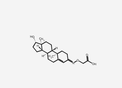 C[C@]12CC[C@H]3[C@@H](CCC4=C/C(=N/OCC(=O)O)CC[C@@]43C)[C@@H]1CC[C@@H]2O